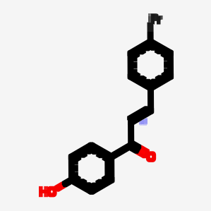 CC(C)c1ccc(/C=C/C(=O)c2ccc(O)cc2)cc1